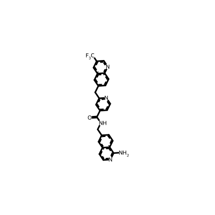 Nc1nccc2cc(CNC(=O)c3ccnc(Cc4ccc5ncc(C(F)(F)F)cc5c4)c3)ccc12